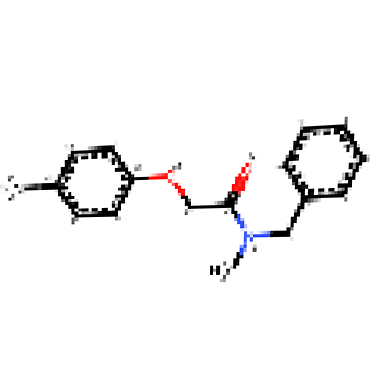 CN(Cc1ccccc1)C(=O)COc1ccc([N+](=O)[O-])cc1